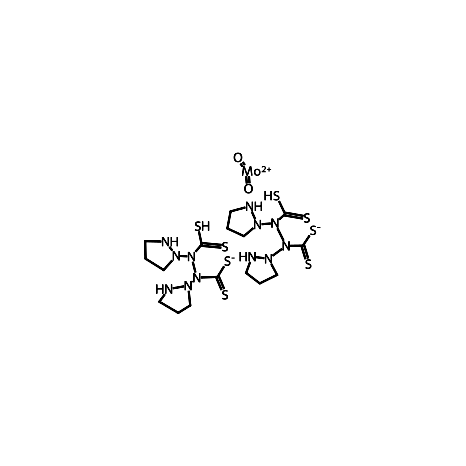 S=C([S-])N(N1CCCN1)N(C(=S)S)N1CCCN1.S=C([S-])N(N1CCCN1)N(C(=S)S)N1CCCN1.[O]=[Mo+2]=[O]